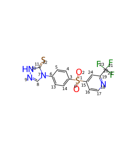 O=S(=O)(c1ccc(-n2cn[nH]c2=S)cc1)c1ccnc(C(F)(F)F)c1